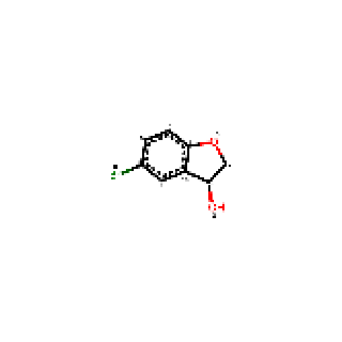 O[C@@H]1COc2ccc(Br)cc21